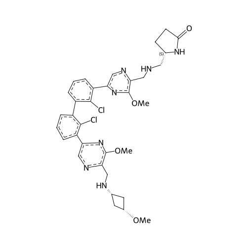 COc1nc(-c2cccc(-c3cccc(-c4cnc(CN[C@H]5C[C@@H](OC)C5)c(OC)n4)c3Cl)c2Cl)cnc1CNC[C@@H]1CCC(=O)N1